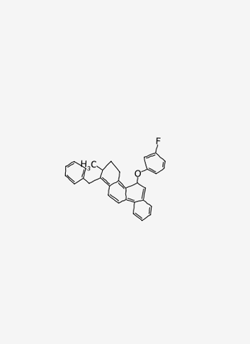 CC1CCc2c3c(ccc2=C1Cc1ccccc1)=c1ccccc1=CC3Oc1cccc(F)c1